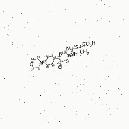 CC(Sc1nc2nc(-c3ccc(N4CCOCC4)cc3)c(Cl)cc2[nH]1)C(=O)O